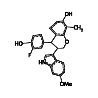 COc1ccc2c(C3COc4c(ccc(O)c4C)C3c3ccc(O)c(F)c3)c[nH]c2c1